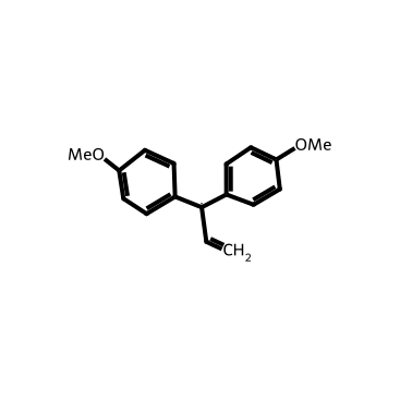 C=C[C](c1ccc(OC)cc1)c1ccc(OC)cc1